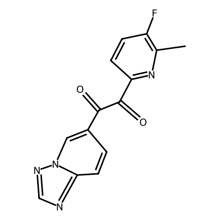 Cc1nc(C(=O)C(=O)c2ccc3ncnn3c2)ccc1F